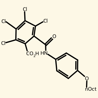 CCCCCCCCOc1ccc(NC(=O)c2c(Cl)c(Cl)c(Cl)c(Cl)c2C(=O)O)cc1